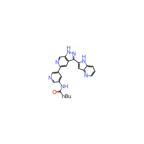 CCCCC(=O)Nc1cncc(-c2cc3c(-c4cc5ncccc5[nH]4)n[nH]c3cn2)c1